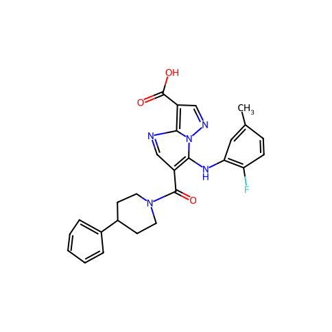 Cc1ccc(F)c(Nc2c(C(=O)N3CCC(c4ccccc4)CC3)cnc3c(C(=O)O)cnn23)c1